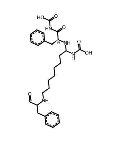 O=CC(Cc1ccccc1)NCCCCCCCC(NC(=O)O)N[C@@H](Cc1ccccc1)C(=O)NC(=O)O